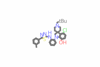 Cc1cccc(-c2nnc(Nc3ccccc3N3CC4(CCN(CC(C)(C)C)CC4)c4c(Cl)ccc(O)c43)s2)c1